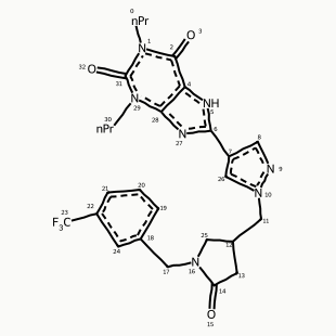 CCCn1c(=O)c2[nH]c(-c3cnn(CC4CC(=O)N(Cc5cccc(C(F)(F)F)c5)C4)c3)nc2n(CCC)c1=O